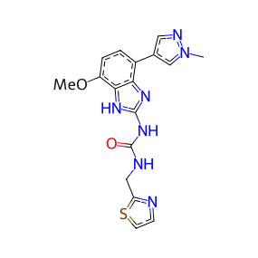 COc1ccc(-c2cnn(C)c2)c2nc(NC(=O)NCc3nccs3)[nH]c12